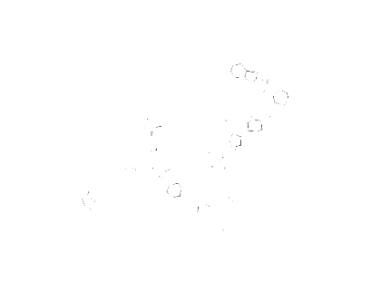 Cc1c(-c2ccc(N3CCc4cccc(C(=O)Nc5nc6ccccc6s5)c4C3)nc2C(=O)O)cnn1CC12CC3(C)CC(C)(C1)CC(OCCN(CCCC(=O)O)C1CCN(C(=O)OCc4ccc(NC(=O)[C@H](CCCNC(N)=O)NC(O)[C@@H](NC(=O)CCCCCN5C(=O)C=CC5=O)C(C)C)cc4)CC1)(C3)C2